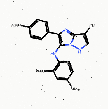 COc1ccc(Nc2c(-c3ccc(NC(C)=O)cc3)nc3c(C#N)c[nH]n23)c(OC)c1